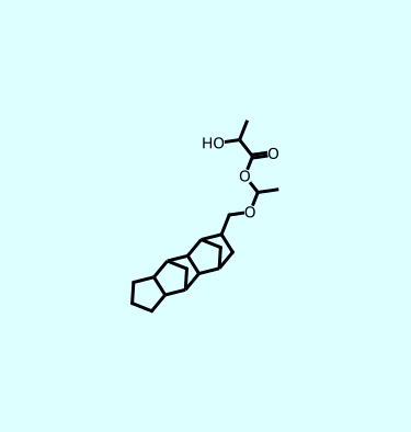 CC(OCC1CC2CC1C1C3CC(C4CCCC43)C21)OC(=O)C(C)O